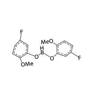 COc1ccc(F)cc1OBOc1cc(F)ccc1OC